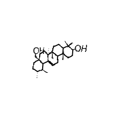 C[C@@H]1CC[C@]2(CO)CC[C@]3(C)C(=CCC4[C@@]5(C)CC[C@H](O)C(C)(C)C5CC[C@]43C)C2[C@H]1C